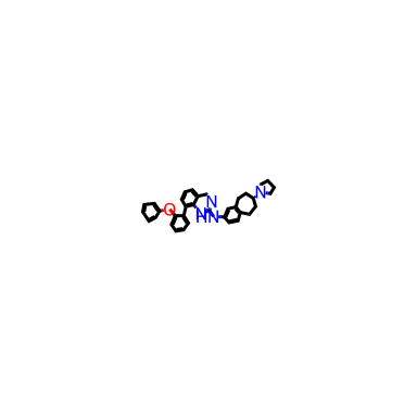 c1ccc(Oc2ccccc2-c2cccc3cnc(Nc4ccc5c(c4)CC[C@@H](N4CCCC4)CC5)nc23)cc1